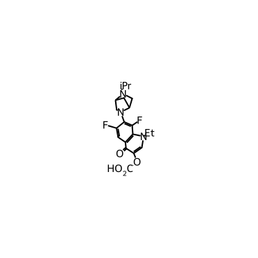 CCn1cc(OC(=O)O)c(=O)c2cc(F)c(N3CC4CC3CN4C(C)C)c(F)c21